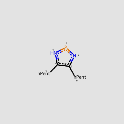 CCCCCc1np[nH]c1CCCCC